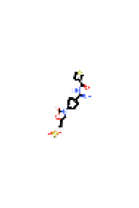 CS(=O)(=O)OCC1CN(c2ccc(C(=N)NC(=O)c3ccsc3)cc2)C(=O)O1